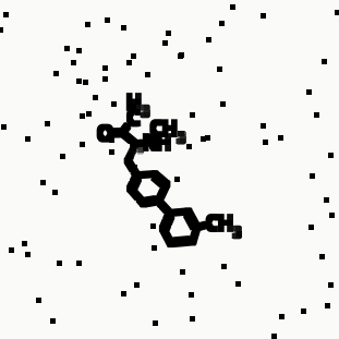 CN[C@@H](Cc1ccc(-c2cccc(C)c2)cc1)C(C)=O